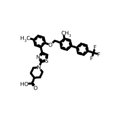 Cc1ccc(OCc2ccc(-c3ccc(C(F)(F)F)cc3)cc2C)c(-c2csc(N3CCC(C(=O)O)CC3)n2)c1